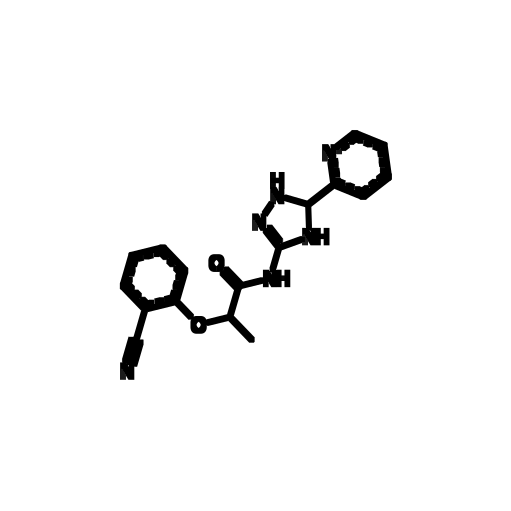 CC(Oc1ccccc1C#N)C(=O)NC1=NNC(c2ccccn2)N1